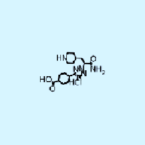 Cl.NC(=O)C(CC1CCNCC1)n1nnc(C2CCC(C(=O)O)CC2)n1